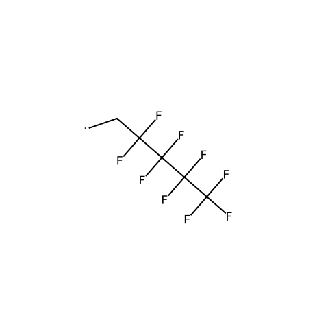 [CH2]CC(F)(F)C(F)(F)C(F)(F)C(F)(F)F